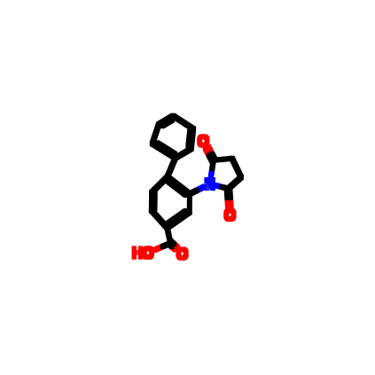 O=C(O)c1ccc(-c2ccccc2)c(N2C(=O)CCC2=O)c1